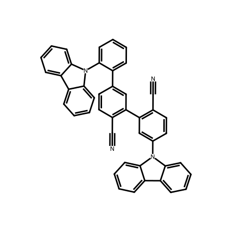 N#Cc1ccc(-c2ccccc2-n2c3ccccc3c3ccccc32)cc1-c1cc(-n2c3ccccc3c3ccccc32)ccc1C#N